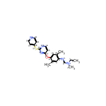 CCN(C)C=Nc1cc(C)c(Oc2ccnc(Sc3ccncc3)n2)cc1C